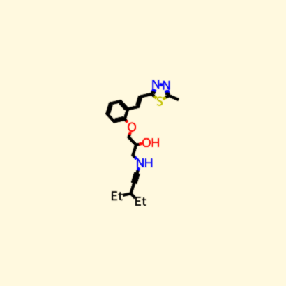 CCC(C#CNCC(O)COc1ccccc1C=Cc1nnc(C)s1)CC